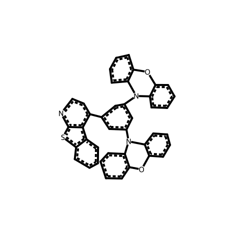 c1ccc2c(c1)Oc1ccccc1N2c1cc(-c2ccnc3sc4ccccc4c23)cc(N2c3ccccc3Oc3ccccc32)c1